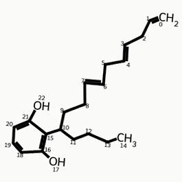 C=CCC=CCC=CCCC(CCCC)c1c(O)cccc1O